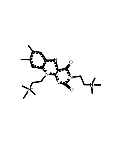 Cc1cc2nc3c(=O)n(CC[N+](C)(C)C)c(=O)nc-3n(CC[N+](C)(C)C)c2cc1C